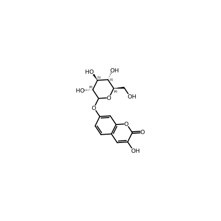 O=c1oc2cc(OC3O[C@H](CO)[C@@H](O)[C@H](O)[C@H]3O)ccc2cc1O